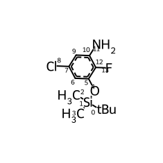 CC(C)(C)[Si](C)(C)Oc1cc(Cl)cc(N)c1F